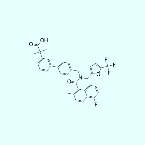 Cc1ccc2c(F)cccc2c1C(=O)N(Cc1ccc(-c2cccc(C(C)(C)C(=O)O)c2)cc1)Cc1ccc(C(F)(F)F)o1